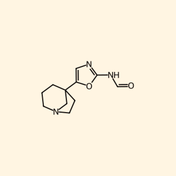 O=CNc1ncc(C23CCCN(CC2)C3)o1